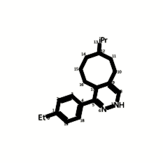 CCc1ccc(C2=NNC=C3CCC(C(C)C)CCCC32)cc1